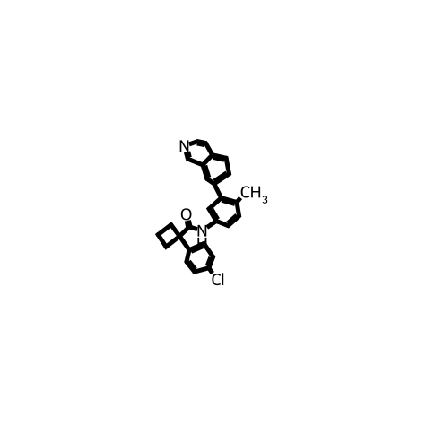 Cc1ccc(NC(=O)C2(c3ccc(Cl)cc3)CCC2)cc1-c1ccc2ccncc2c1